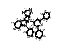 c1ccc(-c2cc(-n3c4cncnc4c4c5ccccc5n(-c5ccccc5)c43)cc(-c3ccccc3)n2)cc1